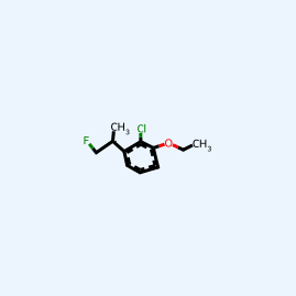 CCOc1cccc([C](C)CF)c1Cl